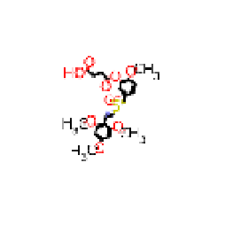 COc1cc(OC)c(/C=C/[S+]([O-])Cc2ccc(OC)c(OC(=O)CCC(=O)O)c2)c(OC)c1